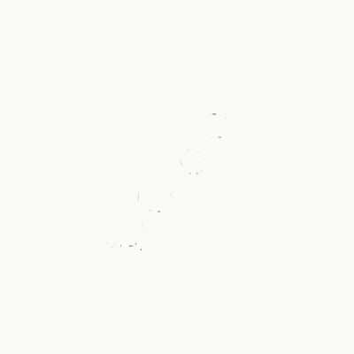 CCc1ccc(-c2ccc(C#Cc3c(F)cc(N=C=S)cc3F)cc2)cc1